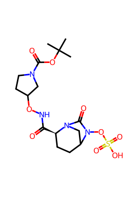 CC(C)(C)OC(=O)N1CCC(ONC(=O)[C@@H]2CCC3CN2C(=O)N3OS(=O)(=O)O)C1